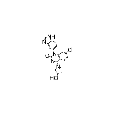 O=c1nc(N2CC[C@@H](O)C2)c2ccc(Cl)cc2n1-c1ccc2[nH]cnc2c1